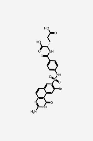 Nc1nc2ccc3cc(S(=O)(=O)Nc4ccc(C(=O)N[C@@H](CCC(=O)O)C(=O)O)cc4)c(Br)cc3c2c(=O)[nH]1